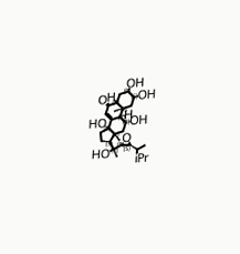 CC(C)C(C)[C@@H]1O[C@H]1[C@](C)(O)[C@H]1CC[C@@]2(O)C3=CC(=O)[C@@H]4C[C@@H](O)[C@@H](O)C[C@]4(C)[C@H]3[C@H](O)C[C@]12C